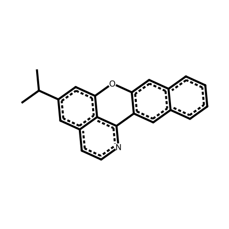 CC(C)c1cc2c3c(nccc3c1)-c1cc3ccccc3cc1O2